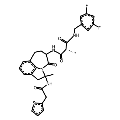 C[C@@H](C(=O)NCc1cc(F)cc(F)c1)C(=O)NC1CCc2cccc3c2N(C1=O)C(C)(NC(=O)Cc1cccs1)C3